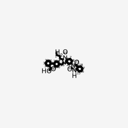 CCCCc1nc2ccc(-n3c(=O)[nH]c4ccccc4c3=O)cc2n1Cc1ccc(-c2ccccc2C(=O)O)cc1.O